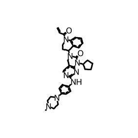 C=CC(=O)N1CCC(N2Cc3cnc(Nc4ccc(N5CCN(C)CC5)cc4)nc3N(C3CCCC3)C2=O)c2ccccc21